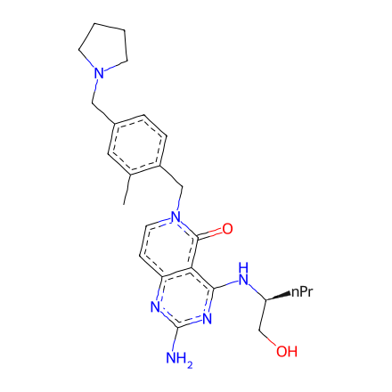 CCC[C@@H](CO)Nc1nc(N)nc2ccn(Cc3ccc(CN4CCCC4)cc3C)c(=O)c12